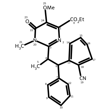 CCOC(=O)c1nc(C(C)C(c2ccccc2)c2ccccc2C#N)n(C)c(=O)c1OC